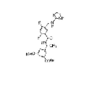 COc1cc(OC)cc(C(C)NC(=O)c2cc(CNC3=NCCN3)c(F)cc2F)c1